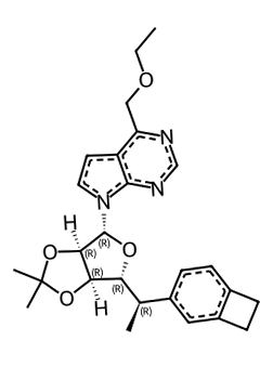 CCOCc1ncnc2c1ccn2[C@@H]1O[C@H]([C@H](C)c2ccc3c(c2)CC3)[C@H]2OC(C)(C)O[C@H]21